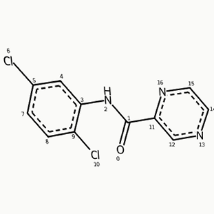 O=C(Nc1cc(Cl)ccc1Cl)c1cnccn1